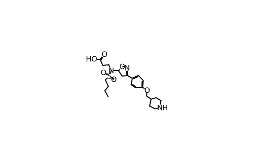 CCCCS(=O)(=O)N(CCC(=O)O)C1CC(c2ccc(OCC3CCNCC3)cc2)=NO1